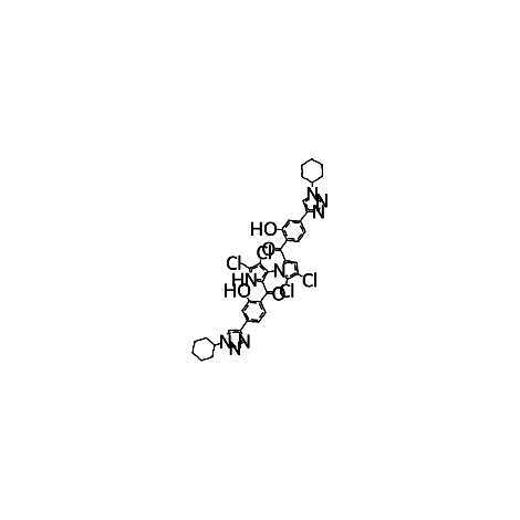 O=C(c1ccc(-c2cn(C3CCCCC3)nn2)cc1O)c1[nH]c(Cl)c(Cl)c1-n1c(C(=O)c2ccc(-c3cn(C4CCCCC4)nn3)cc2O)cc(Cl)c1Cl